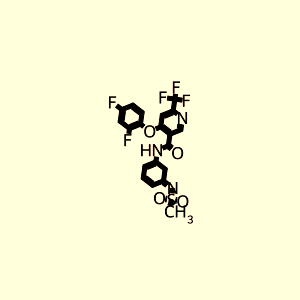 CS(=O)(=O)N=C1C=CC=C(NC(=O)c2cnc(C(F)(F)F)cc2Oc2ccc(F)cc2F)C1